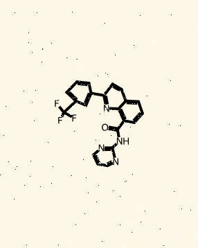 O=C(Nc1ncccn1)c1cccc2ccc(-c3cccc(C(F)(F)F)c3)nc12